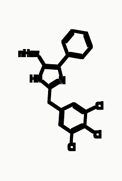 CCCCCCc1[nH]c(Cc2cc(Cl)c(Cl)c(Cl)c2)nc1-c1ccccc1